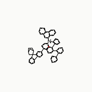 c1ccc(-c2ccccc2-c2ccccc2-c2ccccc2N(c2ccc(-c3ccc4c(c3)C3(CC5CCC3C5)c3ccccc3-4)cc2)c2cc3ccccc3c3ccccc23)cc1